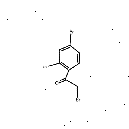 CCc1cc(Br)ccc1C(=O)CBr